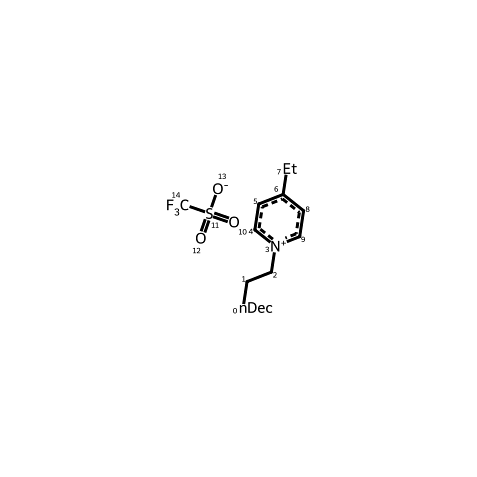 CCCCCCCCCCCC[n+]1ccc(CC)cc1.O=S(=O)([O-])C(F)(F)F